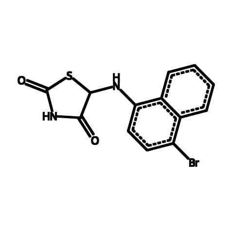 O=C1NC(=O)C(Nc2ccc(Br)c3ccccc23)S1